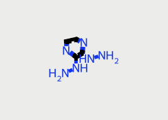 NNc1nccnc1NN